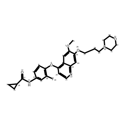 COc1cc2c(Oc3ccc(NC(=O)C4CC4)cc3F)ccnc2cc1OCCCN1CCOCC1